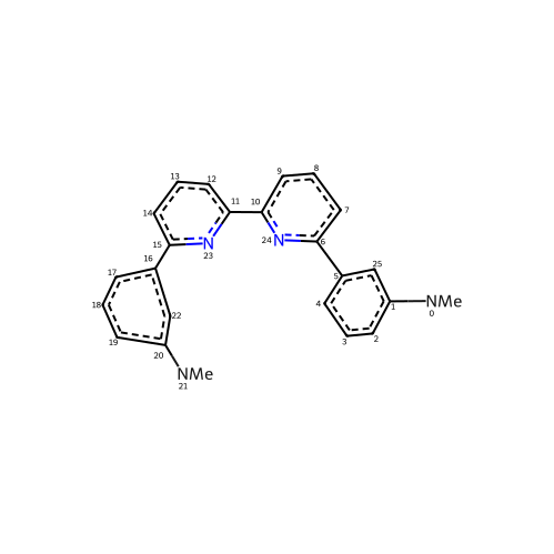 CNc1cccc(-c2cccc(-c3cccc(-c4cccc(NC)c4)n3)n2)c1